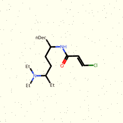 CCCCCCCCCCC(CCC(CC)N(CC)CC)NC(=O)C=CCl